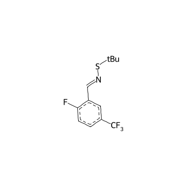 CC(C)(C)SN=Cc1cc(C(F)(F)F)ccc1F